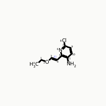 CCO/C=C/c1nc(Cl)ccc1N